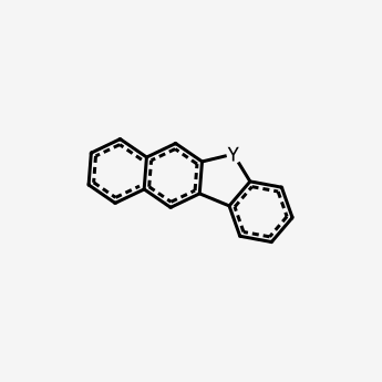 c1ccc2[c](c1)[Y][c]1cc3ccccc3cc1-2